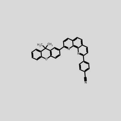 CC1(C)c2ccccc2Oc2ccc(-c3ccc4ccc5ccc(-c6ccc(C#N)cc6)nc5c4n3)cc21